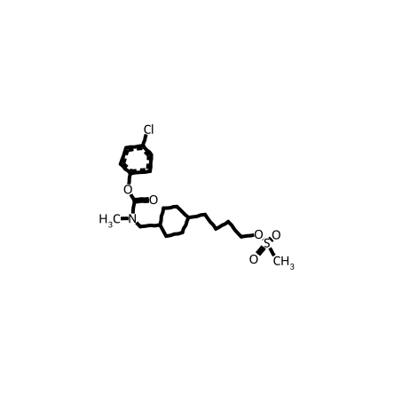 CN(CC1CCC(CCCCOS(C)(=O)=O)CC1)C(=O)Oc1ccc(Cl)cc1